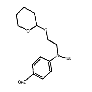 CCN(CCOC1CCCCO1)c1ccc(C=O)cc1